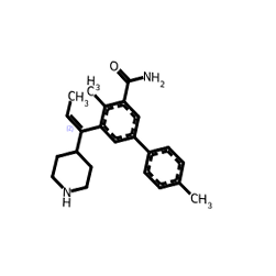 C/C=C(\c1cc(-c2ccc(C)cc2)cc(C(N)=O)c1C)C1CCNCC1